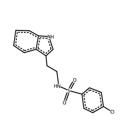 O=S(=O)(NCCc1c[nH]c2ccccc12)c1ccc(Cl)cc1